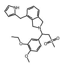 CCOc1cc(C(CS(C)(=O)=O)N2Cc3cccc(Cc4ccc[nH]4)c3C2)ccc1OC